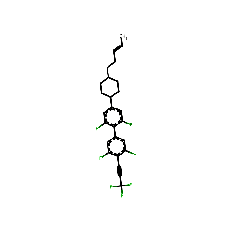 C/C=C/CCC1CCC(c2cc(F)c(-c3cc(F)c(C#CC(F)(F)F)c(F)c3)c(F)c2)CC1